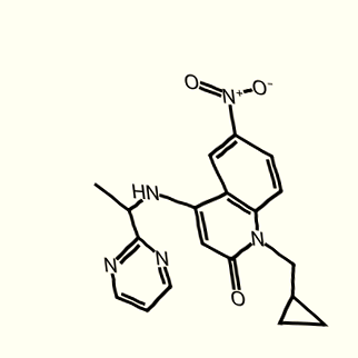 CC(Nc1cc(=O)n(CC2CC2)c2ccc([N+](=O)[O-])cc12)c1ncccn1